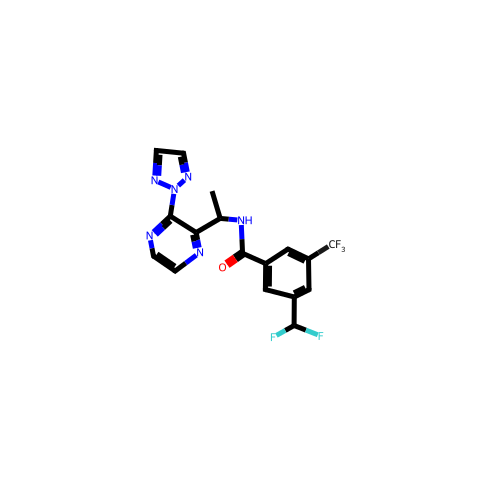 CC(NC(=O)c1cc(C(F)F)cc(C(F)(F)F)c1)c1nccnc1-n1nccn1